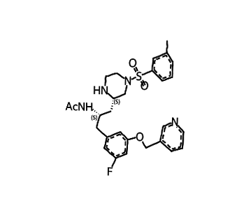 CC(=O)N[C@@H](Cc1cc(F)cc(OCc2cccnc2)c1)C[C@H]1CN(S(=O)(=O)c2cccc(C)c2)CCN1